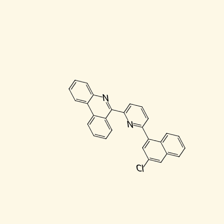 Clc1cc(-c2cccc(-c3nc4ccccc4c4ccccc34)n2)c2ccccc2c1